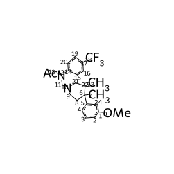 COc1cccc(C2(C)CCN(CN(C(C)=O)c3ccc(C(F)(F)F)cc3)CC2C)c1